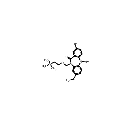 CCCN1c2ccc(Br)cc2C(=O)N(COCC[Si](C)(C)C)c2cc(OC(F)(F)F)ccc21